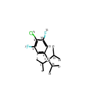 CC(C)[Si](c1cc(F)c(Cl)c(F)c1)(C(C)C)C(C)C